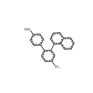 O=Cc1ccc(-c2ccc(C(F)(F)F)cc2-c2cccc3ccccc23)cc1